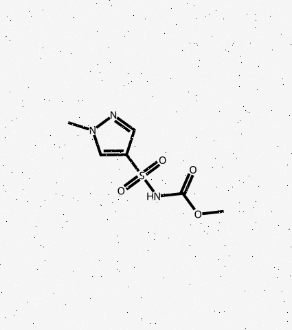 COC(=O)NS(=O)(=O)c1cnn(C)c1